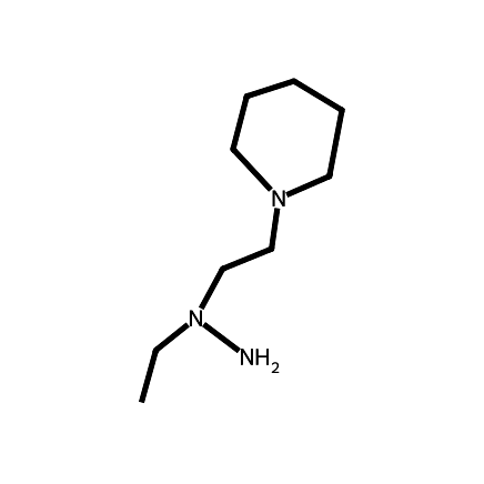 CCN(N)CCN1CCCCC1